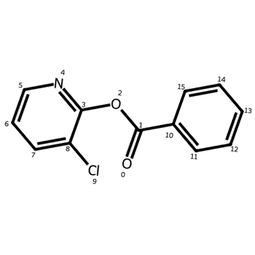 O=C(Oc1ncccc1Cl)c1ccccc1